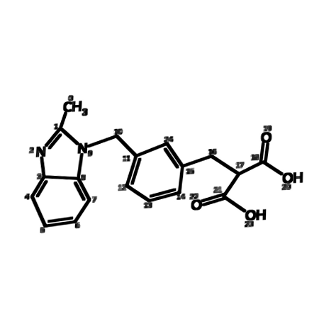 Cc1nc2ccccc2n1Cc1cccc(CC(C(=O)O)C(=O)O)c1